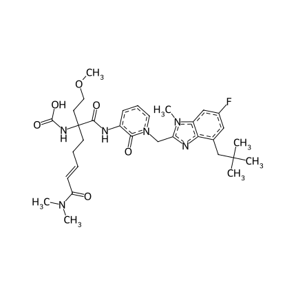 COCCC(CCC=CC(=O)N(C)C)(NC(=O)O)C(=O)Nc1cccn(Cc2nc3c(CC(C)(C)C)cc(F)cc3n2C)c1=O